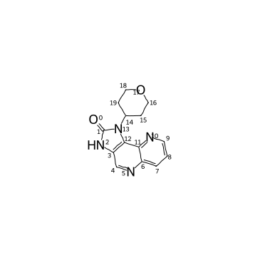 O=c1[nH]c2cnc3cccnc3c2n1C1CCOCC1